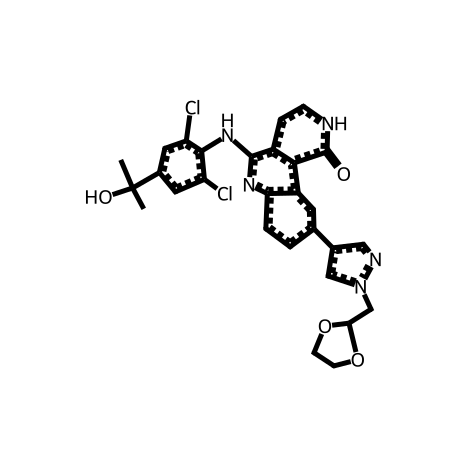 CC(C)(O)c1cc(Cl)c(Nc2nc3ccc(-c4cnn(CC5OCCO5)c4)cc3c3c(=O)[nH]ccc23)c(Cl)c1